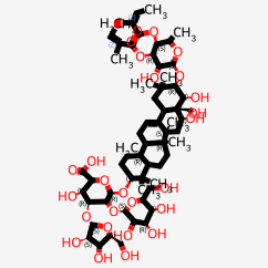 C/C=C(/C)C(=O)O[C@@H]1C(O)[C@H](O[C@H]2[C@H](O)[C@@]3(CO)C(CC2(C)C)C2=CCC4[C@@]5(C)CC[C@H](O[C@@H]6OC(C(=O)O)[C@@H](O)[C@@H](O[C@@H]7O[C@@H](CO)C(O)[C@@H]7O)C6O[C@@H]6OC(CO)[C@H](O)[C@@H](O)C6O)C(C)(C)C5CC[C@@]4(C)[C@]2(C)C[C@H]3O)OC(C)[C@@H]1OC(=O)/C(C)=C\C